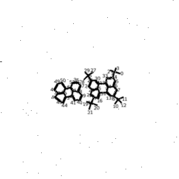 CC(C)(C)c1cc2cc(C(C)(C)C)cc3c4cc(C(C)(C)C)cc5cc(C(C)(C)C)cc(c(c1)c23)c54.c1cc2cccc3c4cccc5cccc(c(c1)c23)c54